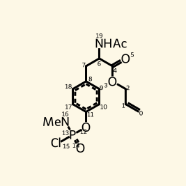 C=CCOC(=O)C(Cc1ccc(OP(=O)(Cl)NC)cc1)NC(C)=O